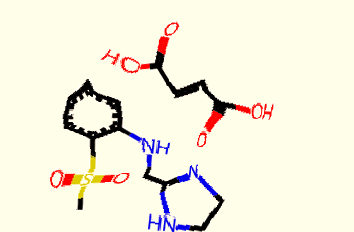 CS(=O)(=O)c1ccccc1NCC1=NCCN1.O=C(O)C=CC(=O)O